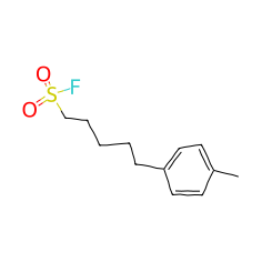 Cc1ccc(CCCCCS(=O)(=O)F)cc1